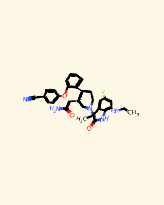 CCNc1cc(F)cc2c1NC(=O)C2(C)N1CC[C@H](c2ccccc2Oc2ccc(C#N)cc2)[C@H](CC(N)=O)C1